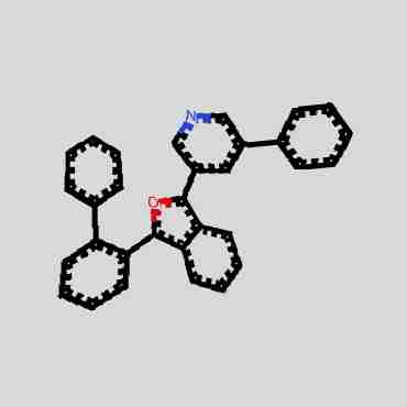 c1ccc(-c2cncc(-c3oc(-c4ccccc4-c4ccccc4)c4ccccc34)c2)cc1